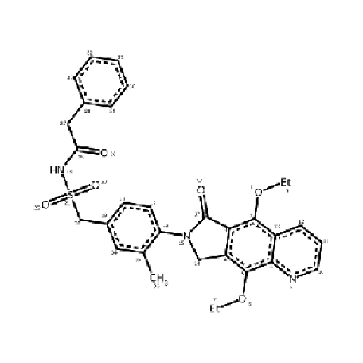 CCOc1c2c(c(OCC)c3ncccc13)CN(c1ccc(CS(=O)(=O)NC(=O)Cc3ccccc3)cc1C)C2=O